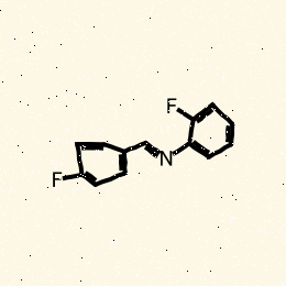 Fc1ccc(C=Nc2ccccc2F)cc1